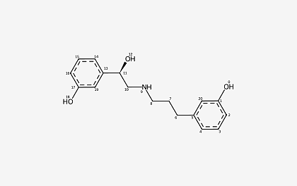 Oc1cccc(CCCNC[C@H](O)c2cccc(O)c2)c1